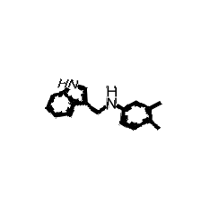 Cc1ccc(NCc2c[nH]c3ccccc23)cc1C